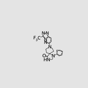 O=C1NCN(c2ccccc2)C12CCN(c1ccc3nnc(C(F)(F)F)n3n1)CC2